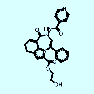 O=C(NN1C=C(c2ccccc2)n2c(C(=O)OCCO)cc3c2C(=CCC3)C1=O)c1ccncc1